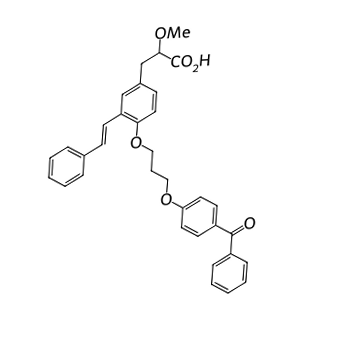 COC(Cc1ccc(OCCCOc2ccc(C(=O)c3ccccc3)cc2)c(/C=C/c2ccccc2)c1)C(=O)O